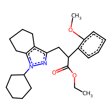 CCOC(=O)C(Cc1nn(C2CCCCC2)c2c1CCCC2)c1ccccc1OC